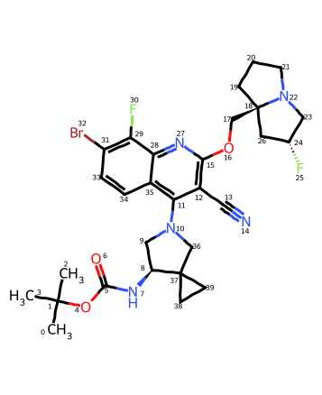 CC(C)(C)OC(=O)N[C@H]1CN(c2c(C#N)c(OC[C@@]34CCCN3C[C@H](F)C4)nc3c(F)c(Br)ccc23)CC12CC2